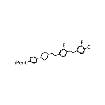 CCCCCc1ccc([C@H]2CC[C@H](CCc3ccc(CCc4ccc(Cl)c(F)c4)c(F)c3)CC2)cc1